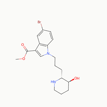 COC(=O)c1cn(CCC[C@H]2NCCC[C@@H]2O)c2ccc(Br)cc12